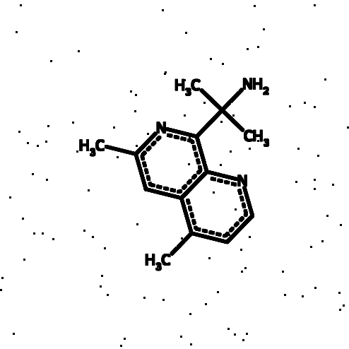 Cc1cc2c(C)ccnc2c(C(C)(C)N)n1